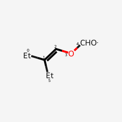 CCC(=CO[C]=O)CC